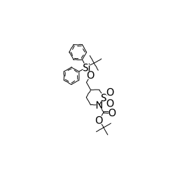 CC(C)(C)OC(=O)N1CCC(CO[Si](c2ccccc2)(c2ccccc2)C(C)(C)C)CS1(=O)=O